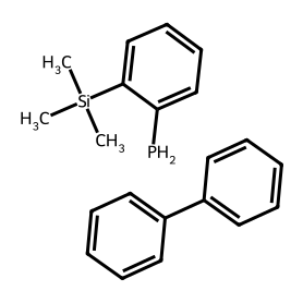 C[Si](C)(C)c1ccccc1P.c1ccc(-c2ccccc2)cc1